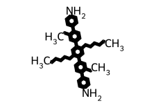 CCCCCCc1cc(-c2ccc(-c3ccc(N)cc3)c(CC)c2)c(CCCCCC)cc1-c1ccc(-c2ccc(N)cc2)c(CC)c1